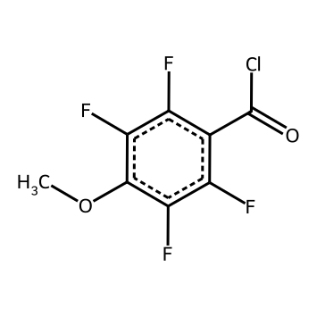 COc1c(F)c(F)c(C(=O)Cl)c(F)c1F